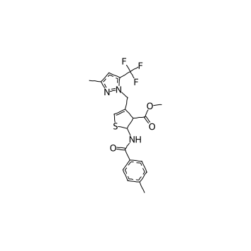 COC(=O)C1C(Cn2nc(C)cc2C(F)(F)F)=CSC1NC(=O)c1ccc(C)cc1